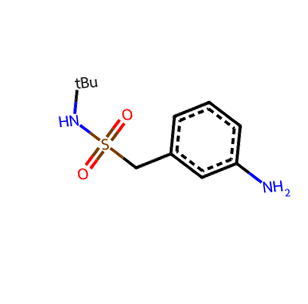 CC(C)(C)NS(=O)(=O)Cc1cccc(N)c1